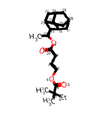 CCC(C)(C)C(=O)OCCCC(=O)OC(C)C1C2CC3CC(C2)CC1C3